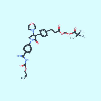 C=CCOC(=O)NC(=N)c1ccc(N2CC(N3CCOCC3)=C(c3ccc(CCC(=O)OCOC(=O)C(C)(C)C)cc3)C2=O)cc1